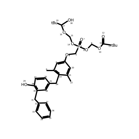 Cc1cc(OCP(=O)(OCOC(=O)C(C)(C)C)OCOC(O)C(C)(C)C)cc(C)c1Cc1ccc(O)c(Cc2ccccc2)c1